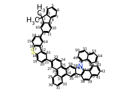 CC1(C)c2ccccc2-c2ccc(-c3ccc4sc5ccc(-c6ccc7c(c6)c6ccccc6c6cc8c9ccc%10ccccc%10c9n(-c9cccc%10ccccc9%10)c8cc76)cc5c4c3)cc21